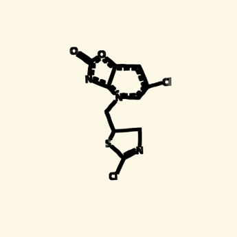 O=c1nc2n(CC3CN=C(Cl)S3)cc(Cl)cc-2o1